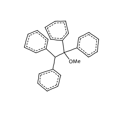 COC(c1ccccc1)(c1ccccc1)C(c1ccccc1)c1ccccc1